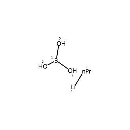 OB(O)O.[Li][CH2]CC